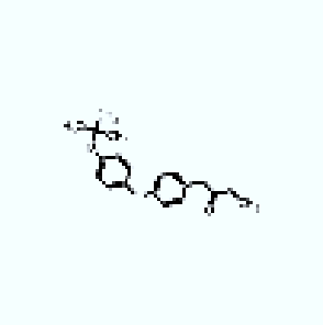 CCC(=O)Cc1ccc([I+]c2ccc(OC(C)(C)C)cc2)cc1